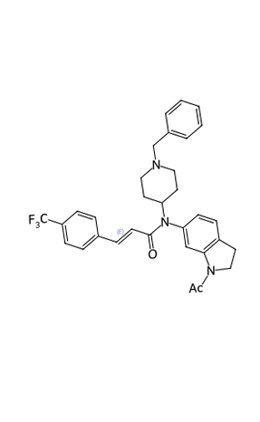 CC(=O)N1CCc2ccc(N(C(=O)/C=C/c3ccc(C(F)(F)F)cc3)C3CCN(Cc4ccccc4)CC3)cc21